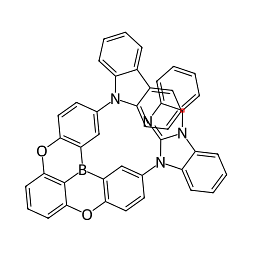 c1cc2c3c(c1)Oc1ccc(-n4c5ccccc5n5c6ccccc6nc45)cc1B3c1cc(-n3c4ccccc4c4ccccc43)ccc1O2